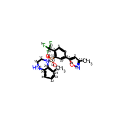 Cc1cc(-c2ccc(C(F)(F)F)c(S(=O)(=O)N3CCNc4cccc(C)c43)c2)on1